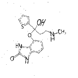 CNCCC(O)(Oc1cccc2[nH]c(=O)[nH]c12)c1cccs1